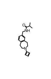 CC(C)C(=O)NCc1ccc2c(c1)CCN(C1=CC=C1)CC2